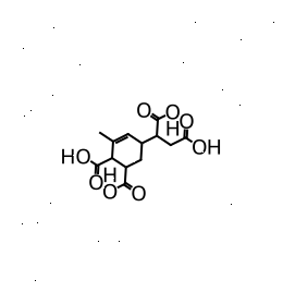 CC1=CC(C(CC(=O)O)C(=O)O)CC(C(=O)O)C1C(=O)O